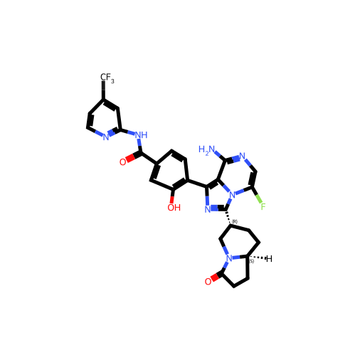 Nc1ncc(F)n2c([C@@H]3CC[C@H]4CCC(=O)N4C3)nc(-c3ccc(C(=O)Nc4cc(C(F)(F)F)ccn4)cc3O)c12